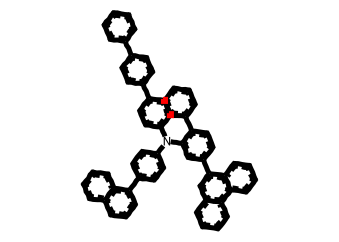 c1ccc(-c2ccc(-c3ccc(N(c4ccc(-c5cccc6ccccc56)cc4)c4cc(-c5cc6ccccc6c6ccccc56)ccc4-c4ccccc4)cc3)cc2)cc1